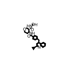 O=C(N[C@@H]1CCOC[C@@H]1C(=O)NO)c1ccc(Cc2cc(C3CC3)nc3ccccc23)cc1